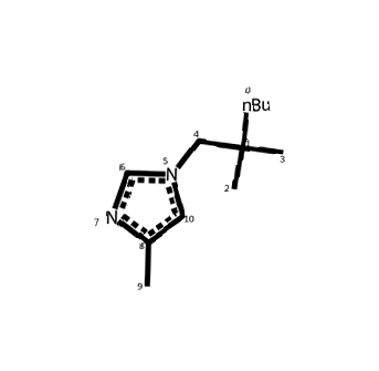 CCCCC(C)(C)Cn1cnc(C)c1